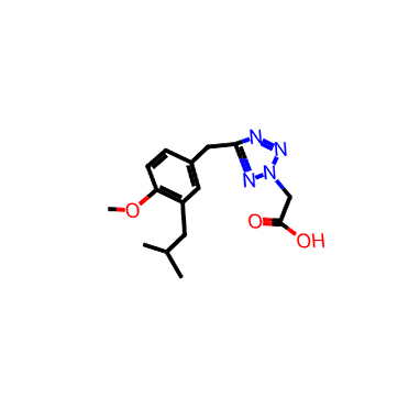 COc1ccc(Cc2nnn(CC(=O)O)n2)cc1CC(C)C